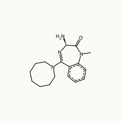 CN1C(=O)[C@H](N)N=C(N2CCCCCCC2)c2ccccc21